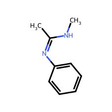 CNC(C)=Nc1ccccc1